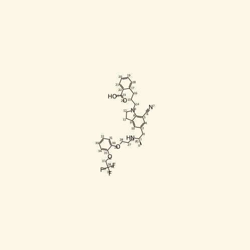 C[C@H](Cc1cc(C#N)c2c(c1)CCN2CCCc1ccccc1C(=O)O)NCCOc1ccccc1OCC(F)(F)F